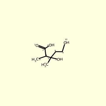 CC(C(=O)O)C(C)(O)CCO